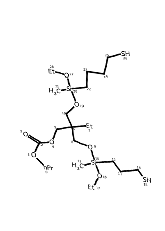 CCCOC(=O)OCC(CC)(CO[Si](C)(CCCS)OCC)CO[Si](C)(CCCCS)OCC